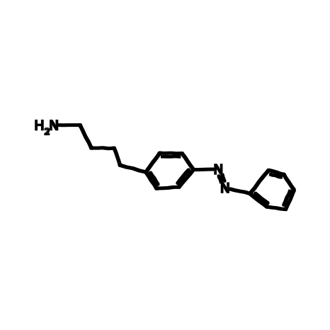 NCCCCc1ccc(N=Nc2ccccc2)cc1